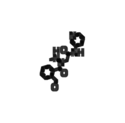 CNN(CC(=O)Nc1cccnc1)C(=O)c1ccccc1C=O